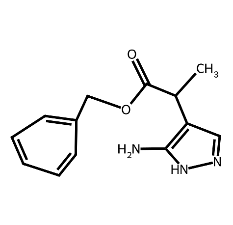 CC(C(=O)OCc1ccccc1)c1cn[nH]c1N